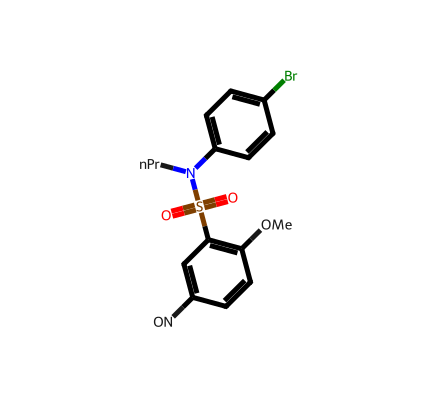 CCCN(c1ccc(Br)cc1)S(=O)(=O)c1cc(N=O)ccc1OC